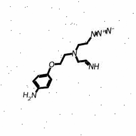 [N-]=[N+]=NCCN(CC=N)CCOc1ccc(N)cc1